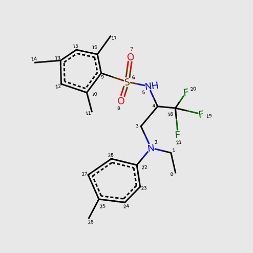 CCN(CC(NS(=O)(=O)c1c(C)cc(C)cc1C)C(F)(F)F)c1ccc(C)cc1